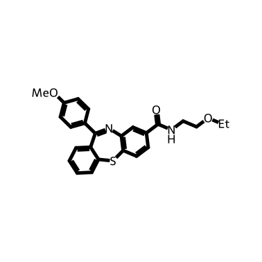 CCOCCNC(=O)c1ccc2c(c1)N=C(c1ccc(OC)cc1)c1ccccc1S2